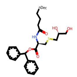 CCCCCCCCCCCCCC(=O)N[C@@H](CSC[C@H](O)CO)C(=O)OC(c1ccccc1)c1ccccc1